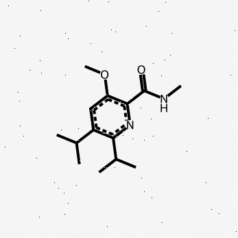 CNC(=O)c1nc(C(C)C)c(C(C)C)cc1OC